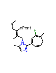 C/C=C\C(CCCCC)=C(/C)Cn1c(C)cnc1C1=CC(F)=C(C)CC=C1